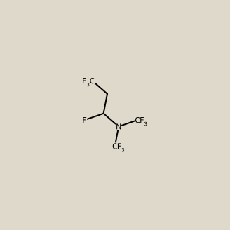 FC(CC(F)(F)F)N(C(F)(F)F)C(F)(F)F